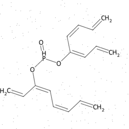 C=C/C=C\C=C(/C=C)O[PH](=O)OC(/C=C\C=C)=C/C=C